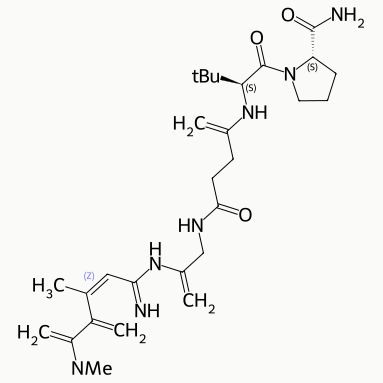 C=C(CNC(=O)CCC(=C)N[C@H](C(=O)N1CCC[C@H]1C(N)=O)C(C)(C)C)NC(=N)/C=C(/C)C(=C)C(=C)NC